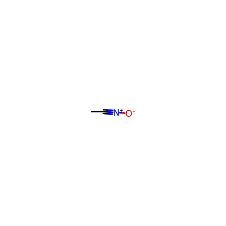 CC#[N+][O-]